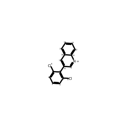 Clc1cccc(Cl)c1-c1cnc2ccccc2c1